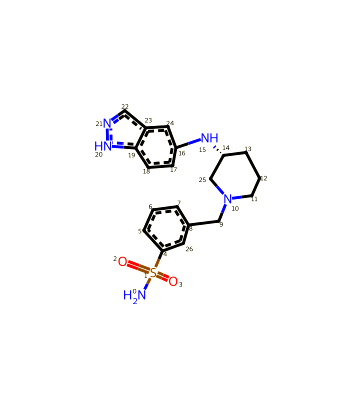 NS(=O)(=O)c1cccc(CN2CCC[C@@H](Nc3ccc4[nH]ncc4c3)C2)c1